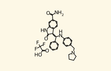 NC(=O)c1ccc2c(c1)NC(=O)C2=C(Nc1ccc(CN2CCCC2)cc1)c1ccccc1.O=C(O)C(F)(F)F